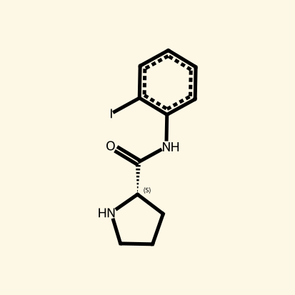 O=C(Nc1ccccc1I)[C@@H]1CCCN1